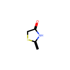 C=C1NC(=O)CS1